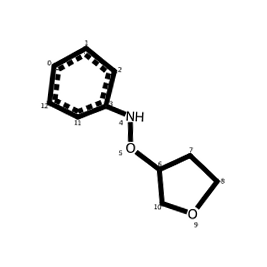 c1ccc(NOC2CCOC2)cc1